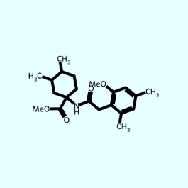 COC(=O)C1(NC(=O)Cc2c(C)cc(C)cc2OC)CCC(C)C(C)C1